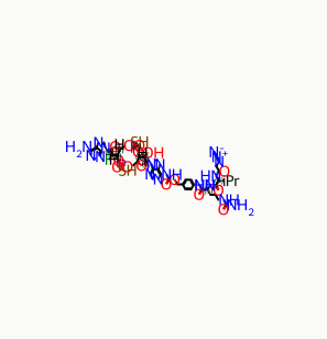 CC(C)[C@H](NC(=O)CN=[N+]=[N-])C(=O)N[C@@H](CCCNC(N)=O)C(=O)Nc1ccc(COC(=O)Nc2ncnc3c2ncn3[C@@H]2OC3COP(=O)(S)O[C@H]4[C@@H](F)[C@H](n5cnc6c(N)ncnc65)O[C@@H]4CO[P@@](=O)(S)O[C@H]3[C@H]2O)cc1